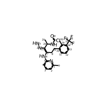 Cc1cccc(N/C(CCc2cccc(C(F)(F)F)c2Cl)=C(\N=N)C(C)NC=O)n1